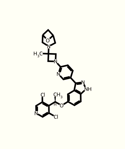 C[C@@H](Oc1ccc2[nH]nc(-c3ccc(N4CC(C)(N5CC6CC(C5)O6)C4)nc3)c2c1)c1c(Cl)cncc1Cl